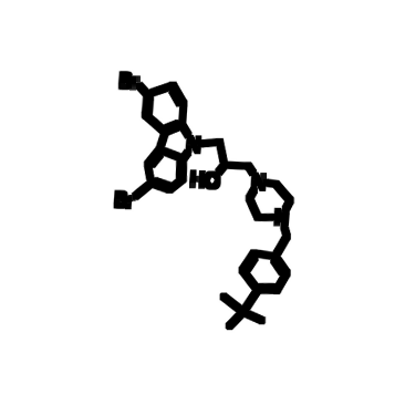 CC(C)(C)c1ccc(CN2CCN(CC(O)Cn3c4ccc(Br)cc4c4cc(Br)ccc43)CC2)cc1